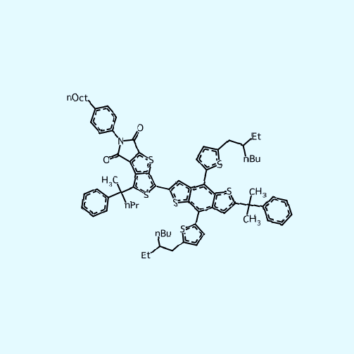 CCCCCCCCc1ccc(N2C(=O)c3sc4c(-c5cc6c(-c7ccc(CC(CC)CCCC)s7)c7sc(C(C)(C)c8ccccc8)cc7c(-c7ccc(CC(CC)CCCC)s7)c6s5)sc(C(C)(CCC)c5ccccc5)c4c3C2=O)cc1